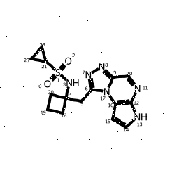 O=S(=O)(NC1(Cc2nnc3cnc4[nH]ccc4n23)CCC1)C1CC1